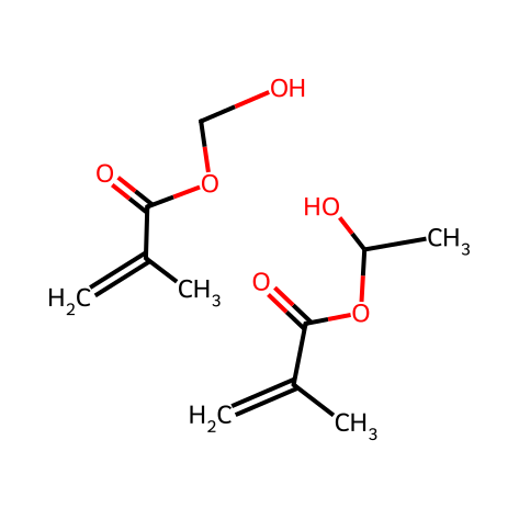 C=C(C)C(=O)OC(C)O.C=C(C)C(=O)OCO